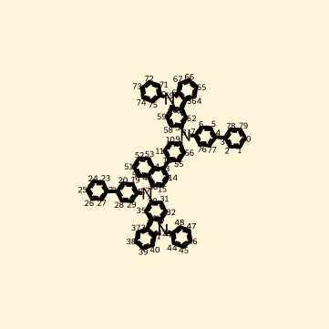 c1ccc(-c2ccc(N(c3ccc(-c4ccc(N(c5ccc(-c6ccccc6)cc5)c5ccc6c(c5)c5ccccc5n6-c5ccccc5)c5ccccc45)cc3)c3ccc4c(c3)c3ccccc3n4-c3ccccc3)cc2)cc1